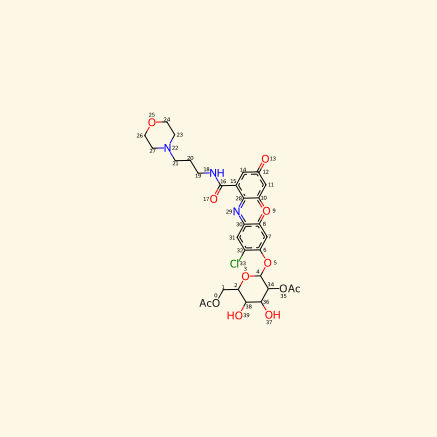 CC(=O)OCC1OC(Oc2cc3oc4cc(=O)cc(C(=O)NCCCN5CCOCC5)c-4nc3cc2Cl)C(OC(C)=O)C(O)C1O